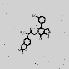 CN(C(=O)Cn1nc(-c2cccc(C#N)c2)c2cn[nH]c2c1=O)c1ccc2c(c1)OC(F)(F)O2